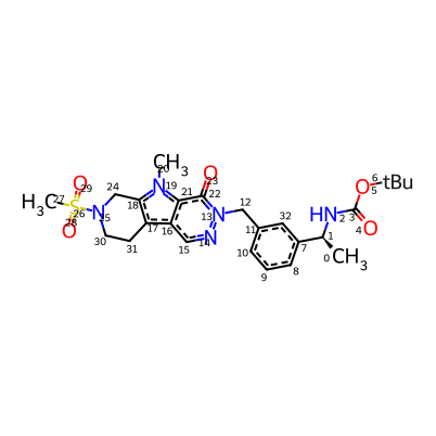 C[C@H](NC(=O)OC(C)(C)C)c1cccc(Cn2ncc3c4c(n(C)c3c2=O)CN(S(C)(=O)=O)CC4)c1